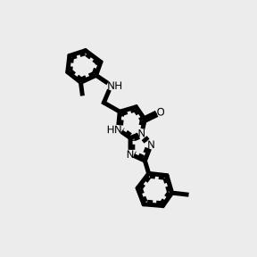 Cc1cccc(-c2nc3[nH]c(CNc4ccccc4C)cc(=O)n3n2)c1